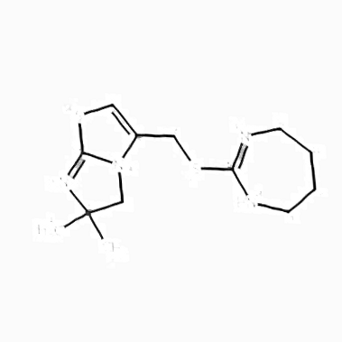 CC1(C)CN2C(CSC3=NCCCCN3)=CSC2=N1